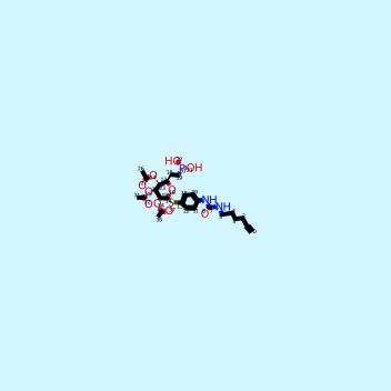 C#CCCCCNC(=O)Nc1ccc(S[C@H]2O[C@H](CCP(O)O)[C@@H](OC(C)=O)[C@H](OC(C)=O)[C@@H]2OC(C)=O)cc1